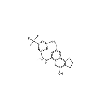 Cc1nc(N[C@H](C)c2cc(N)cc(C(F)(F)F)c2)c2cc(O)c3c(c2n1)CCC3